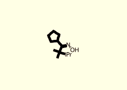 CC(C)C(C)(C)C(=NO)C1CCCC1